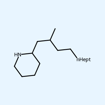 CCCCCCCCCC(C)CC1CCCCN1